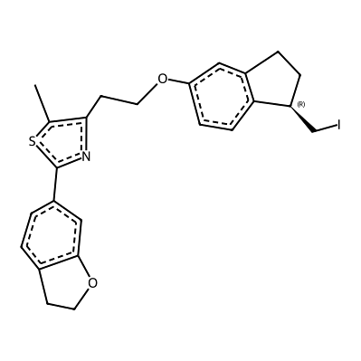 Cc1sc(-c2ccc3c(c2)OCC3)nc1CCOc1ccc2c(c1)CC[C@H]2CI